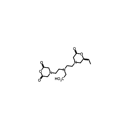 CC=C1CN(CCN(CCN2CC(=O)OC(=O)C2)CC(=O)O)CC(=O)O1